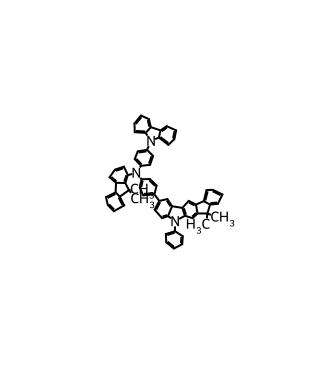 CC1(C)c2ccccc2-c2cc3c4cc(-c5ccc(N(c6ccc(-n7c8ccccc8c8ccccc87)cc6)c6cccc7c6C(C)(C)c6ccccc6-7)cc5)ccc4n(-c4ccccc4)c3cc21